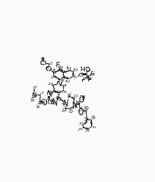 COCOc1cc(N2CCc3c(nc(O[C@H](C)CN(C)C)nc3N3CCN(C(=O)OCc4ccccc4)CC3)C2)c2ccccc2c1F.O=C(O)C(F)(F)F